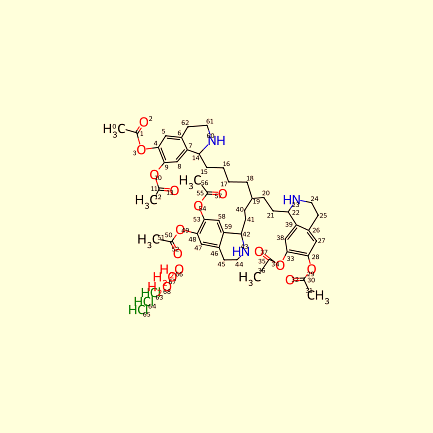 CC(=O)Oc1cc2c(cc1OC(C)=O)C(CCCCC(CCC1NCCc3cc(OC(C)=O)c(OC(C)=O)cc31)CCC1NCCc3cc(OC(C)=O)c(OC(C)=O)cc31)NCC2.Cl.Cl.Cl.O.O.O